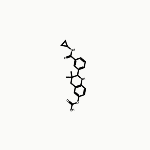 CC1(C)Cc2cc(OC(=O)O)ccc2NC1c1cccc(C(=O)NC2CC2)c1